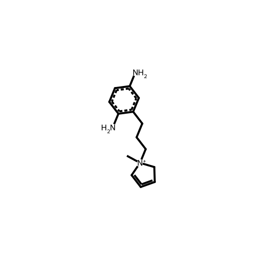 C[N+]1(CCCc2cc(N)ccc2N)C=C=CC1